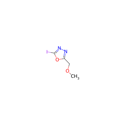 COCc1nnc(I)o1